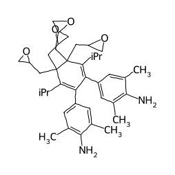 Cc1cc(C2=C(C(C)C)C(CC3CO3)(CC3CO3)C(CC3CO3)(CC3CO3)C(C(C)C)=C2c2cc(C)c(N)c(C)c2)cc(C)c1N